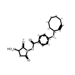 O=C(ON1C(=O)CC(S(=O)(=O)O)C1=O)c1ccc(OC2C#CCCCCC2)cc1